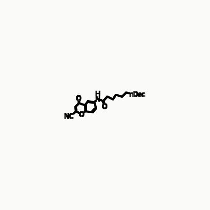 CCCCCCCCCCCCCCCC(=O)Nc1ccc2oc(C#N)cc(=O)c2c1